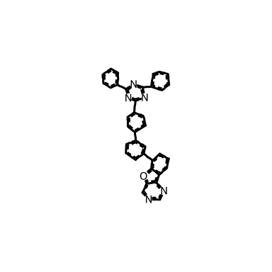 c1ccc(-c2nc(-c3ccccc3)nc(-c3ccc(-c4cccc(-c5cccc6c5oc5cncnc56)c4)cc3)n2)cc1